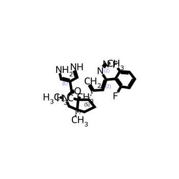 C=C(/C=C(\N=N/C)c1c(F)cccc1F)[C@@H]1CC[C@@](C)(CN(C)C(=O)/C(C=N)=C/N)C1(C)C